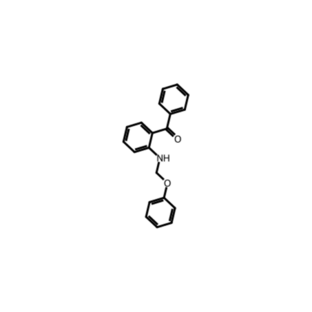 O=C(c1ccccc1)c1ccccc1NCOc1ccccc1